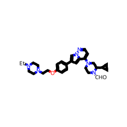 CCN1CCN(CCOc2ccc(-c3cc4c(N5CCN(C=O)C(C6CC6)C5)ccnn4c3)cc2)CC1